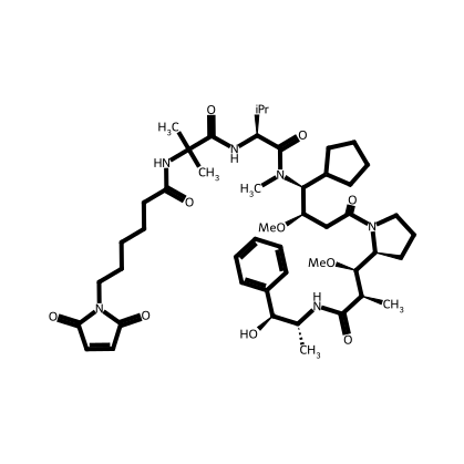 CO[C@H]([C@@H](C)C(=O)N[C@H](C)[C@@H](O)c1ccccc1)[C@@H]1CCCN1C(=O)C[C@@H](OC)[C@H](C1CCCC1)N(C)C(=O)[C@@H](NC(=O)C(C)(C)NC(=O)CCCCCN1C(=O)C=CC1=O)C(C)C